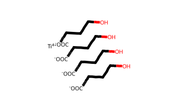 O=C([O-])CCCO.O=C([O-])CCCO.O=C([O-])CCCO.O=C([O-])CCCO.[Ti+4]